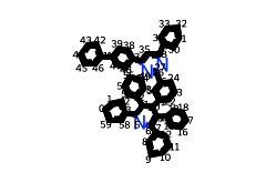 c1ccc(C2=NC(c3ccccc3)=C(c3ccccc3)C(c3cccc(-c4nc(-c5ccccc5)cc(-c5ccc(-c6ccccc6)cc5)n4)c3)C2c2ccccc2)cc1